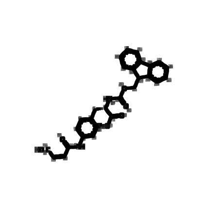 COC(=O)[C@H](Cc1ccc(NC(=O)/C=C\C(=O)O)cc1)NC(=O)OCC1c2ccccc2-c2ccccc21